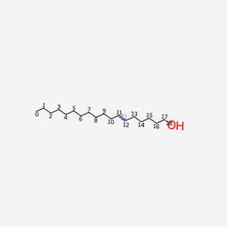 CCCCCCCCCCC/C=C/CCCCCO